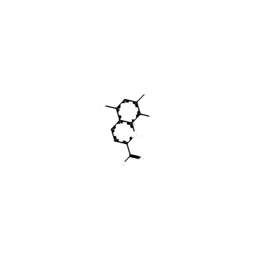 N=C(N)c1ccc2c(I)cc(I)c(O)c2n1